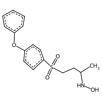 CC(CCS(=O)(=O)c1ccc(Oc2ccccc2)cc1)NO